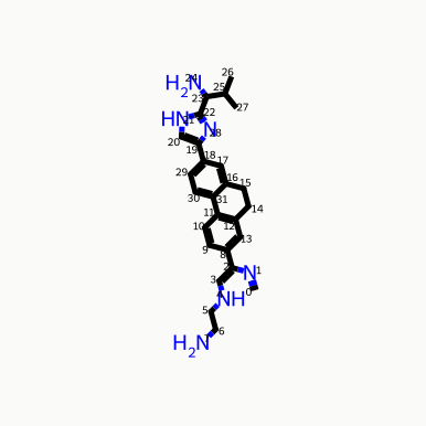 C=N/C(=C\NCCN)c1ccc2c(c1)CCc1cc(-c3c[nH]c(C(N)C(C)C)n3)ccc1-2